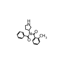 Cc1ccccc1C(=O)N(C(=O)c1ccccc1)C1CCNC1